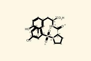 O=C(O)[C@H](Cc1ccc(O)c(I)c1)NC(=O)[C@@H]1CCCN1S(=O)(=O)c1cccc(Cl)c1